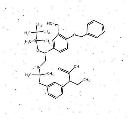 CCC(C(=O)O)c1cccc(CC(C)(C)NC[C@@H](O[Si](C)(C)C(C)(C)C)c2ccc(OCc3ccccc3)c(CO)c2)c1